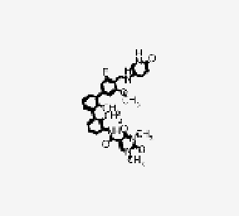 COc1cc(-c2cccc(-c3cccc(NC(=O)c4cn(C)c(=O)n(C)c4=O)c3C)c2C)cc(F)c1CNC1CCC(=O)NC1